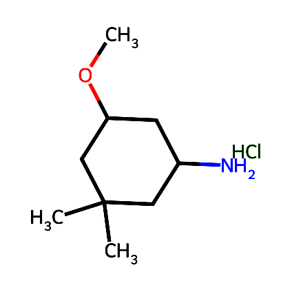 COC1CC(N)CC(C)(C)C1.Cl